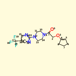 O=C(COC1=CCCC1)N1CCN(c2ncc(C(F)(F)F)cn2)CC1